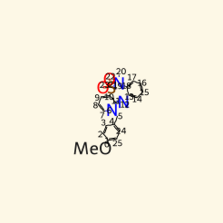 COc1ccc(CN2C=CC=C3C2=Nc2ccccc2N(C)S3(=O)=O)cc1